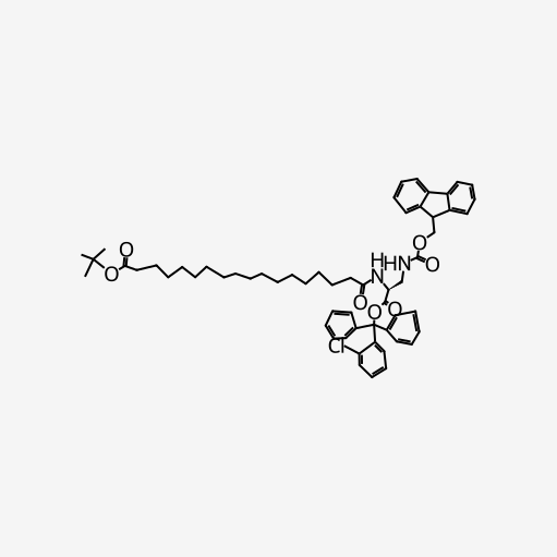 CC(C)(C)OC(=O)CCCCCCCCCCCCCCCCC(=O)N[C@@H](CNC(=O)OCC1c2ccccc2-c2ccccc21)C(=O)OC(c1ccccc1)(c1ccccc1)c1ccccc1Cl